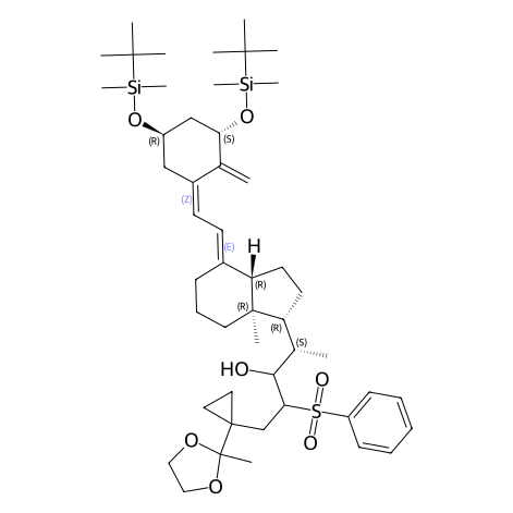 C=C1/C(=C\C=C2/CCC[C@]3(C)[C@@H]([C@H](C)C(O)C(CC4(C5(C)OCCO5)CC4)S(=O)(=O)c4ccccc4)CC[C@@H]23)C[C@@H](O[Si](C)(C)C(C)(C)C)C[C@@H]1O[Si](C)(C)C(C)(C)C